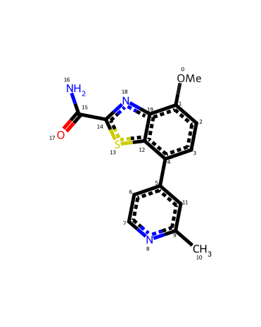 COc1ccc(-c2ccnc(C)c2)c2sc(C(N)=O)nc12